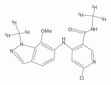 [2H]C([2H])([2H])NC(=O)c1cnc(Cl)cc1Nc1ccc2cnn(C([2H])([2H])[2H])c2c1OC